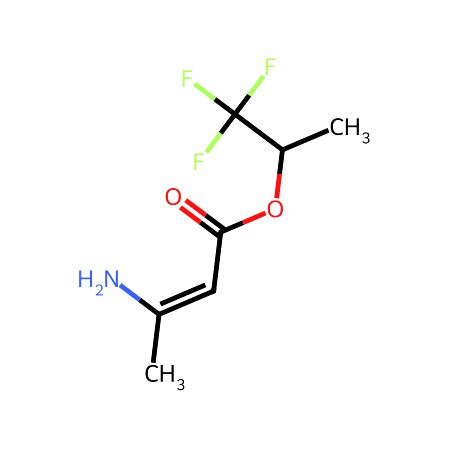 CC(N)=CC(=O)OC(C)C(F)(F)F